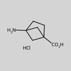 Cl.NC12CCC(C(=O)O)(C1)C2